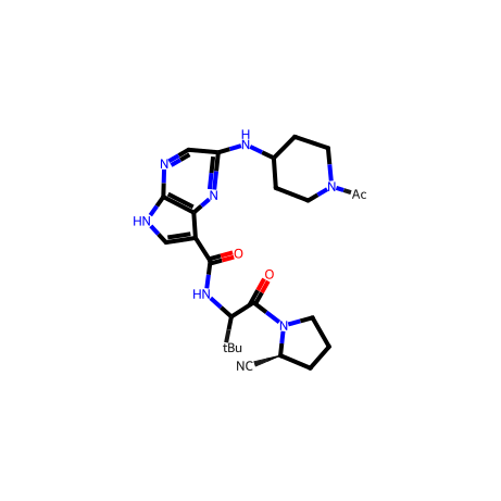 CC(=O)N1CCC(Nc2cnc3[nH]cc(C(=O)NC(C(=O)N4CCC[C@H]4C#N)C(C)(C)C)c3n2)CC1